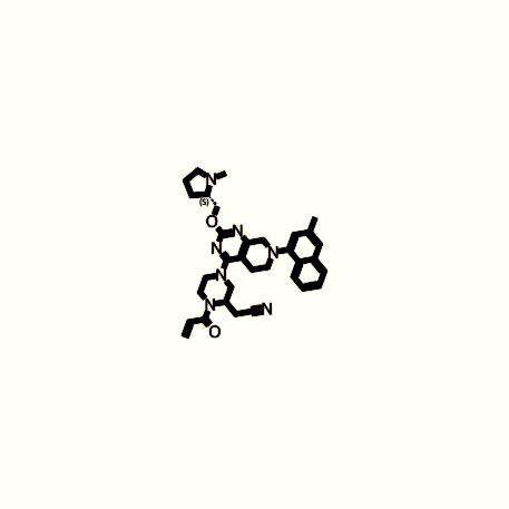 C=CC(=O)N1CCN(c2nc(OC[C@@H]3CCCN3C)nc3c2CCN(c2cc(C)cc4ccccc24)C3)CC1CC#N